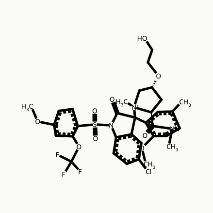 CNC(=O)[C@@H]1C[C@@H](OCCO)C[N+]1(C)C1(c2cc(C)ccc2OC)C(=O)N(S(=O)(=O)c2ccc(OC)cc2OC(F)(F)F)c2ccc(Cl)cc21